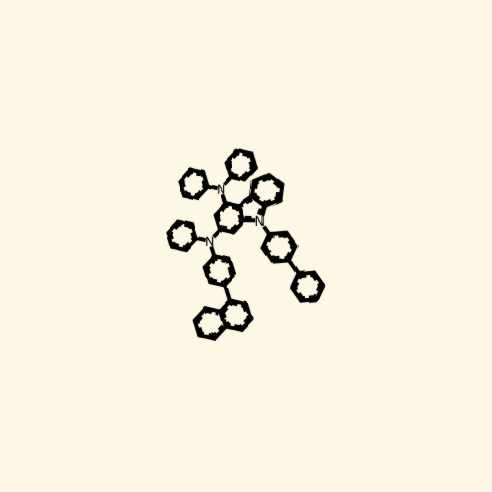 c1ccc(-c2ccc(-n3c4ccccc4c4c(N(c5ccccc5)c5ccccc5)cc(N(c5ccccc5)c5ccc(-c6cccc7ccccc67)cc5)cc43)cc2)cc1